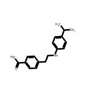 CC(C)c1ccc(NCCc2ccc(C(=O)O)cc2)cc1